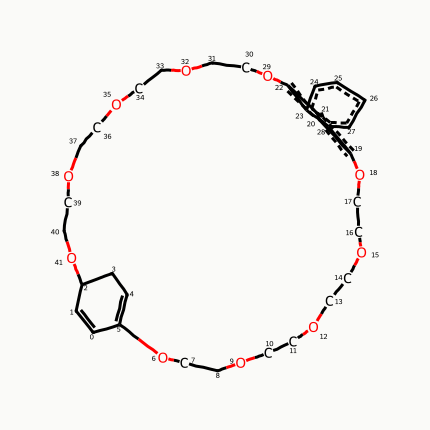 C1=CC2CC=C1OCCOCCOCCOCCOc1ccc(c3ccccc13)OCCOCCOCCOCCO2